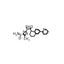 Cc1nc(N(C)C(=O)C2CCCc3cc(-c4ccccn4)ccc32)sc1[S+](N)[O-]